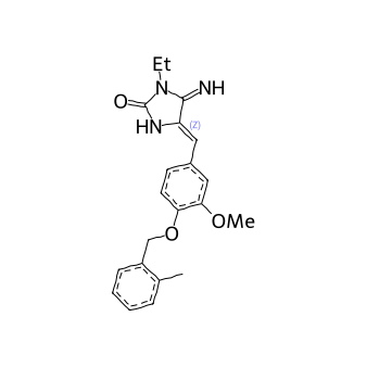 CCN1C(=N)/C(=C/c2ccc(OCc3ccccc3C)c(OC)c2)NC1=O